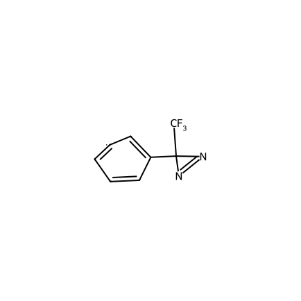 FC(F)(F)C1(c2c[c]ccc2)N=N1